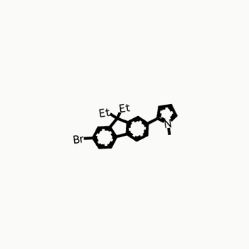 CCC1(CC)c2cc(Br)ccc2-c2ccc(-c3cccn3C)cc21